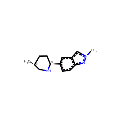 C[C@@H]1CC[C@@H](c2ccc3nn(C)cc3c2)NC1